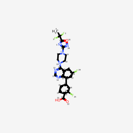 CC(F)(F)c1nc(N2CCN(c3ncnc4c(-c5ccc(C(=O)O)c(F)c5)cc(F)cc34)CC2)no1